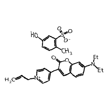 C=CC[n+]1ccc(-c2cc3ccc(N(CC)CC)cc3oc2=O)cc1.Cc1ccc(O)cc1S(=O)(=O)[O-]